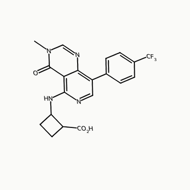 Cn1cnc2c(-c3ccc(C(F)(F)F)cc3)cnc(NC3CCC3C(=O)O)c2c1=O